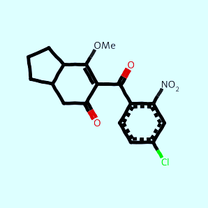 COC1=C(C(=O)c2ccc(Cl)cc2[N+](=O)[O-])C(=O)CC2CCCC12